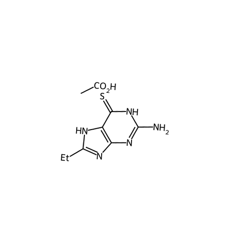 CC(=O)O.CCc1nc2nc(N)[nH]c(=S)c2[nH]1